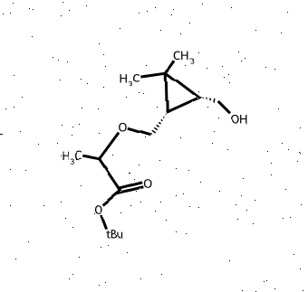 CC(OC[C@H]1[C@@H](CO)C1(C)C)C(=O)OC(C)(C)C